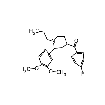 C[CH]CN1CCC(C(=O)c2ccc(F)cc2)CC1c1ccc(OC)c(OC)c1